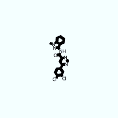 Cn1nc(NC(=O)c2cc(-c3ccc(Cl)c(Cl)c3)ncn2)c2ccccc21